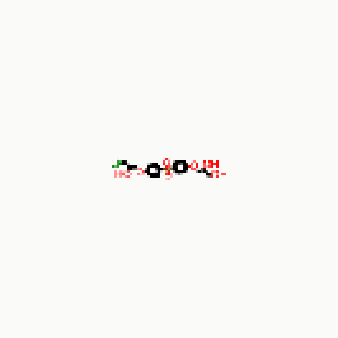 O=S(=O)(c1ccc(OC[C@@H](O)CO)cc1)c1ccc(OC[C@@H](O)CCl)cc1